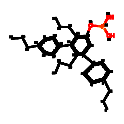 CCCc1ccc(-c2cc(OP(O)O)c(CCC)c(-c3ccc(CCC)cc3)c2CCC)cc1